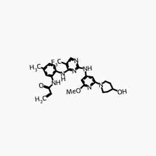 C=CC(=O)Nc1cc(C)ccc1Nc1nc(Nc2cc(OC)nc(N3CCC(O)CC3)c2)ncc1C(F)(F)F